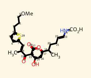 COCCCc1ccc(C=C(C)C(=O)c2c(O)cc(C(C)CC/C=C/NC(=O)O)oc2=O)s1